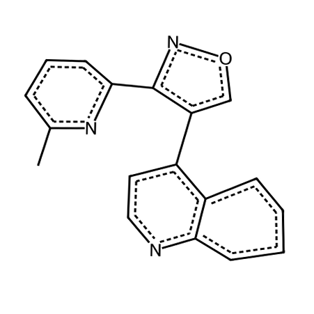 Cc1cccc(-c2nocc2-c2ccnc3ccccc23)n1